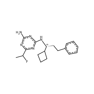 CC(F)c1nc(N)nc(N[C@H](CCc2ccccc2)C2CCC2)n1